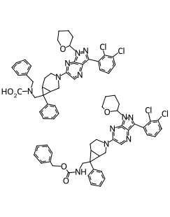 O=C(NCC1(c2ccccc2)C2CCN(c3cnc4c(-c5cccc(Cl)c5Cl)nn(C5CCCCO5)c4n3)CC21)OCc1ccccc1.O=C(O)N(Cc1ccccc1)CC1(c2ccccc2)C2CCN(c3cnc4c(-c5cccc(Cl)c5Cl)nn(C5CCCCO5)c4n3)CC21